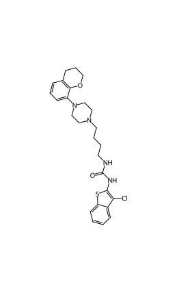 O=C(NCCCCN1CCN(c2cccc3c2OCCC3)CC1)Nc1sc2ccccc2c1Cl